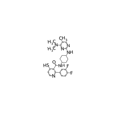 Cc1cnc(NC2CCC(NC(=O)c3c(S)ccnc3-c3ccc(F)c(F)c3)CC2)nc1N(C)C